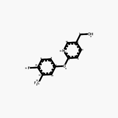 OCc1ccc(Oc2ccc(F)c(C(F)(F)F)c2)nc1